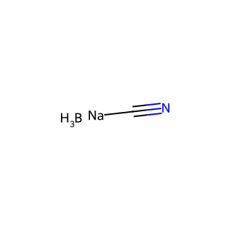 B.N#[C][Na]